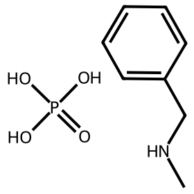 CNCc1ccccc1.O=P(O)(O)O